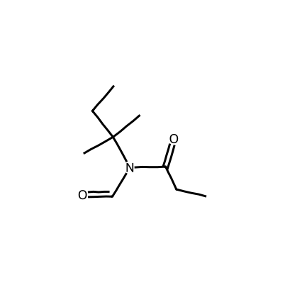 CCC(=O)N(C=O)C(C)(C)CC